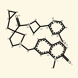 Cn1c(=O)ccc2ccc(CN3CCC(CC4CC4)(C(=O)N4CC(c5cc(C(F)(F)F)ccn5)C4)C3)cc21